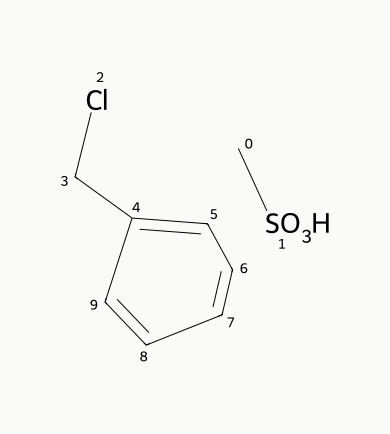 CS(=O)(=O)O.ClCc1ccccc1